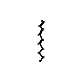 C=C/C=C/C=C/CCCC